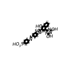 O=S(=O)(O)c1ccc(/N=N/c2ccc(/N=N/c3cc(-c4nc(O)nc(O)n4)c4ccccc4c3O)c(S(=O)(=O)O)c2)cc1